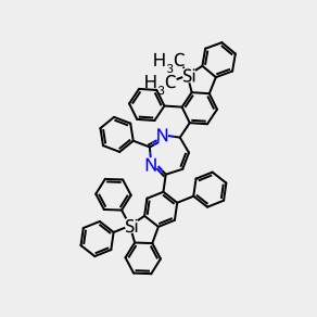 C[Si]1(C)c2ccccc2-c2ccc(C3C=CC(c4cc5c(cc4-c4ccccc4)-c4ccccc4[Si]5(c4ccccc4)c4ccccc4)=NC(c4ccccc4)=N3)c(-c3ccccc3)c21